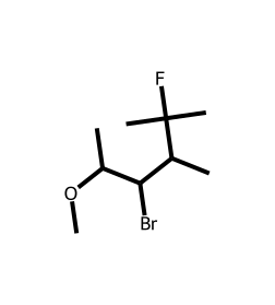 COC(C)C(Br)C(C)C(C)(C)F